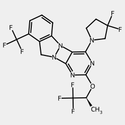 C[C@H](Oc1nc(N2CCC(F)(F)C2)c2c(n1)n1n2-c2cccc(C(F)(F)F)c2C1)C(F)(F)F